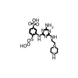 Nc1nc(NCCN2CCNCC2)nc(Nc2cc(S(=O)(=O)O)ccc2SOOO)n1